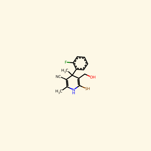 CC1=C(C#N)C(C)(c2ccccc2F)C(CO)=C(S)N1